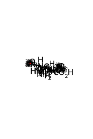 N=C(N)Nc1cc(NC(=O)CCCNC(=O)C23CC4CC(CC(C4)C2)C3)cc(C(=O)NCC(=O)NC[C@H](NC(=O)[C@@H]2CCCN2S(=O)(=O)c2ccccc2)C(=O)O)c1